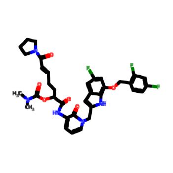 CN(C)C(=O)OC(CC/C=C/C(=O)N1CCCC1)C(=O)Nc1cccn(Cc2cc3cc(F)cc(OCc4ccc(F)cc4F)c3[nH]2)c1=O